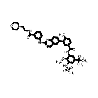 COc1c(NC(=O)c2ccc(C)c(-c3ccc4nc(Nc5cccc(C(=O)NCCN6CCOCC6)c5)ncc4c3)c2)cc(C(C)(C)C)cc1NS(C)(=O)=O